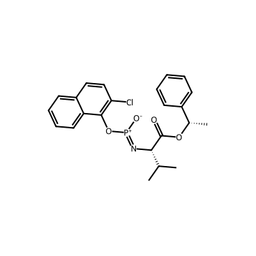 CC(C)[C@H](/N=[P+](\[O-])Oc1c(Cl)ccc2ccccc12)C(=O)O[C@@H](C)c1ccccc1